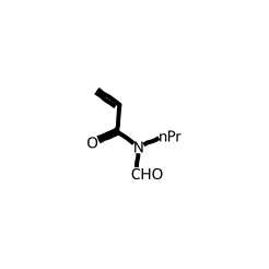 C=CC(=O)N(C=O)CCC